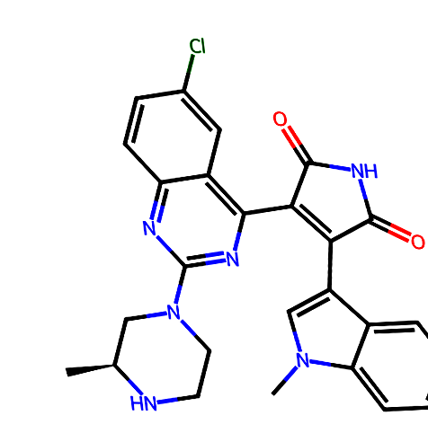 C[C@H]1CN(c2nc(C3=C(c4cn(C)c5ccccc45)C(=O)NC3=O)c3cc(Cl)ccc3n2)CCN1